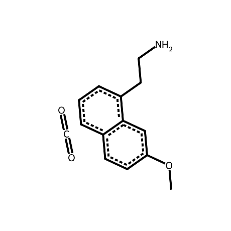 COc1ccc2cccc(CCN)c2c1.O=C=O